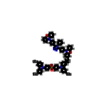 CC(C)(C)c1ccc2c(c1)c1cc(C(C)(C)C)ccc1n2-c1ccc(S(=O)(=O)c2ccc(-n3c4ccc(C(C)(C)C)cc4c4cc(C(C)(C)Cc5ccc6c(c5)Oc5ccccc5N6c5ccc(-c6nnc(-c7ccc(N8c9ccccc9Oc9ccccc98)cc7)n6-c6ccccc6)cc5)ccc43)cc2)cc1